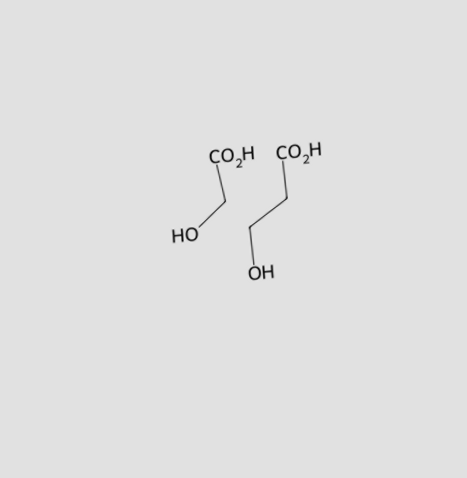 O=C(O)CCO.O=C(O)CO